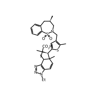 CCn1nnc2c1C=CC(C)([C@H](c1cc(CN3C[C@H](C)Cc4ccccc4S3(=O)=O)c(C)s1)C(C)(C)C(=O)O)C2C